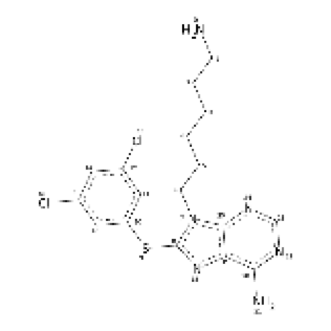 NCCCCCCn1c(Sc2cc(Cl)cc(Cl)c2)nc2c(N)ncnc21